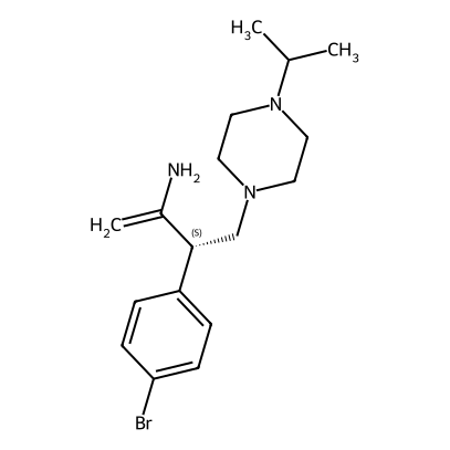 C=C(N)[C@H](CN1CCN(C(C)C)CC1)c1ccc(Br)cc1